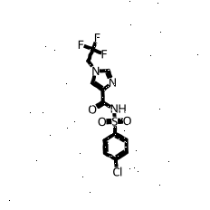 O=C(NS(=O)(=O)c1ccc(Cl)cc1)c1cn(CC(F)(F)F)cn1